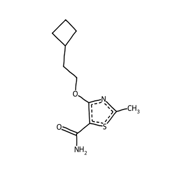 Cc1nc(OCCC2CCC2)c(C(N)=O)s1